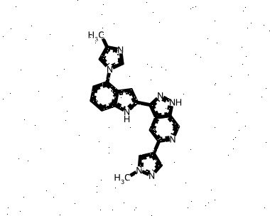 Cc1cn(-c2cccc3[nH]c(-c4n[nH]c5cnc(-c6cnn(C)c6)cc45)cc23)cn1